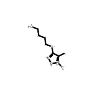 Cc1c(OCCCCO)no[n+]1[O-]